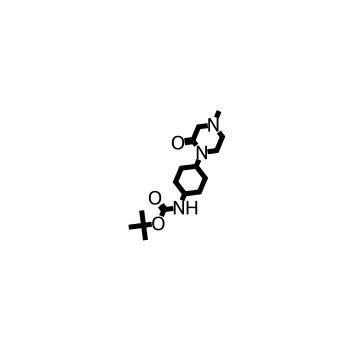 CN1CCN(C2CCC(NC(=O)OC(C)(C)C)CC2)C(=O)C1